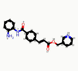 Nc1ccccc1NC(=O)c1ccc(/C=C/C(=O)OCc2cccnc2)cc1